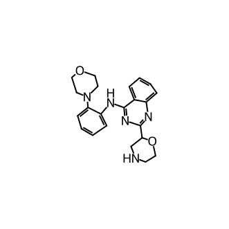 c1ccc(N2CCOCC2)c(Nc2nc(C3CNCCO3)nc3ccccc23)c1